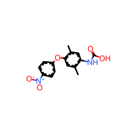 Cc1cc(Oc2ccc([N+](=O)[O-])cc2)c(C)cc1NC(=O)O